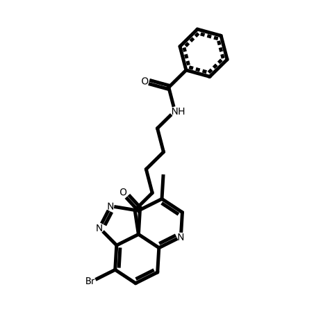 CC1=CN=C2C=CC(Br)=C3N=NC(CCCCNC(=O)c4ccccc4)C23C1=O